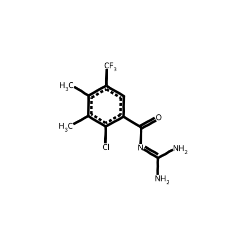 Cc1c(C(F)(F)F)cc(C(=O)N=C(N)N)c(Cl)c1C